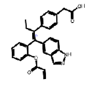 C=CC(=O)Oc1ccccc1/C(=C(\CC)c1ccc(CC(=O)O)cc1)c1ccc2[nH]ncc2c1